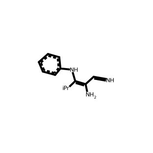 CC(C)/C(Nc1ccccc1)=C(\N)C=N